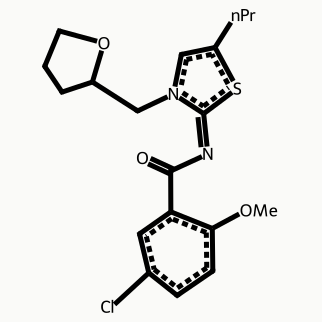 CCCc1cn(CC2CCCO2)c(=NC(=O)c2cc(Cl)ccc2OC)s1